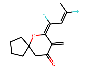 C=C1C(=O)CC2(CCCC2)O/C1=C(F)/C=C(\C)F